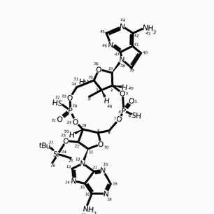 C[C@H]1[C@H]2OP(=O)(S)OCC3O[C@@H](n4cnc5c(N)ncnc54)C(O[Si](C)(C)C(C)(C)C)[C@@H]3OP(=O)(S)OC[C@H]1O[C@H]2n1ccc2c(N)ncnc21